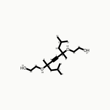 CC(C)CC(C)(C#CC(C)(CC(C)C)OCCO)OCCO